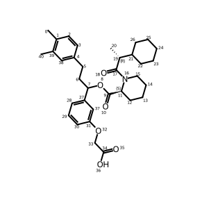 Cc1ccc(CCC(OC(=O)[C@@H]2CCCCN2C(=O)[C@H](C)C2CCCCC2)c2cccc(OCC(=O)O)c2)cc1C